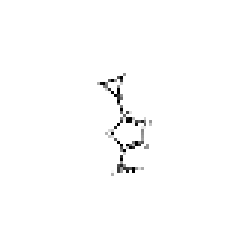 CCCC(C)c1cnc(C2CC2)s1